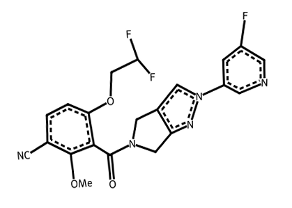 COc1c(C#N)ccc(OCC(F)F)c1C(=O)N1Cc2cn(-c3cncc(F)c3)nc2C1